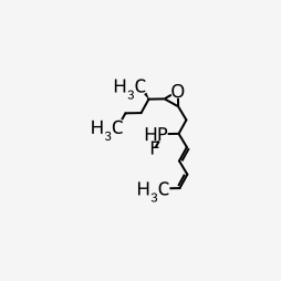 C/C=C\C=C\C(CC1OC1[C@H](C)CCC)PF